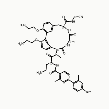 CCCc1ccc(-c2ncc(C(=O)N[C@@H](CCN)C(=O)N(C)[C@@H]3C(=O)N[C@@H](C)C(=O)N[C@H](C(=O)NCC#N)Cc4ccc(OCCN)c(c4)-c4cc3ccc4OCCN)c(C)n2)c(C)c1